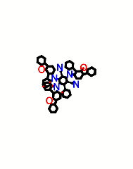 N#Cc1c(-c2ccccc2)c(-n2c3ccccc3c3c4oc5ccccc5c4ccc32)c(-n2c3ccccc3c3c4oc5ccccc5c4ccc32)c(C#N)c1-n1c2ccccc2c2c3oc4ccccc4c3ccc21